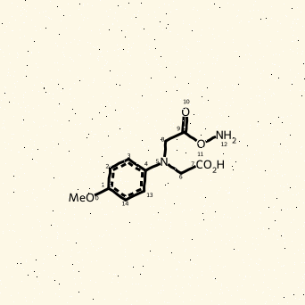 COc1ccc(N(CC(=O)O)CC(=O)ON)cc1